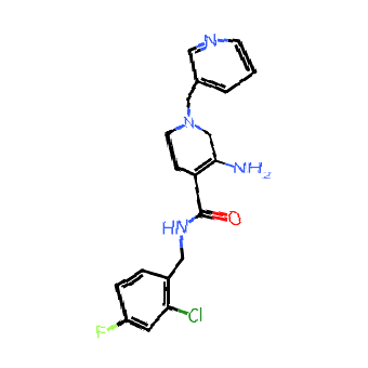 NC1=C(C(=O)NCc2ccc(F)cc2Cl)CCN(Cc2cccnc2)C1